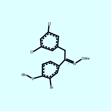 CO/N=C(\Cc1cc(Cl)cc(Cl)c1)c1ccc(SC(C)(C)C)c(Br)c1